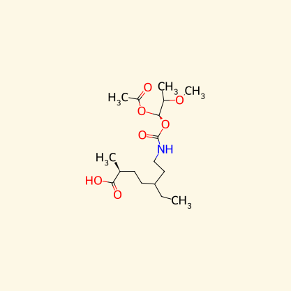 CCC(CCNC(=O)O[C@@H](OC(C)=O)C(C)OC)CC[C@H](C)C(=O)O